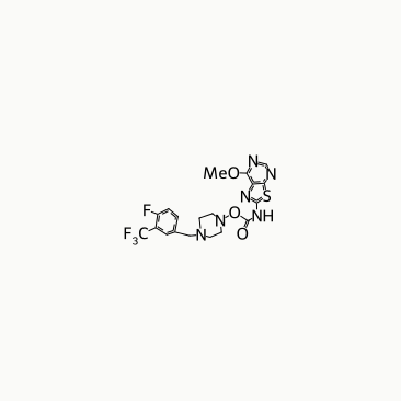 COc1ncnc2sc(NC(=O)ON3CCN(Cc4ccc(F)c(C(F)(F)F)c4)CC3)nc12